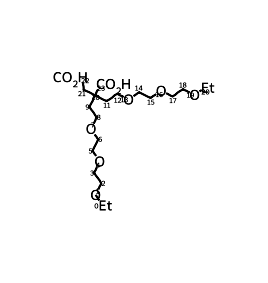 CCOCCOCCOCCC(CCOCCOCCOCC)(CC(=O)O)C(=O)O